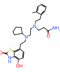 Cc1ccccc1CCN(CCC(N)=O)CCN(CCc1ccc(O)c2[nH]c(=O)sc12)C1CCCC1